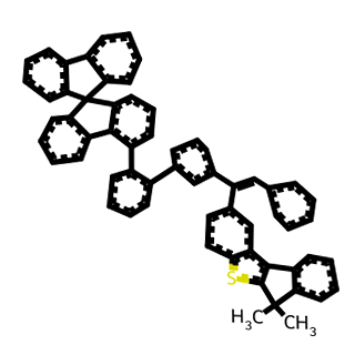 CC1(C)c2ccccc2-c2c1sc1ccc(/C(=C\c3ccccc3)c3cccc(-c4ccccc4-c4cccc5c4-c4ccccc4C54c5ccccc5-c5ccccc54)c3)cc21